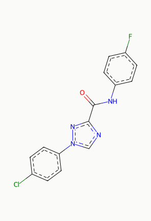 O=C(Nc1ccc(F)cc1)c1ncn(-c2ccc(Cl)cc2)n1